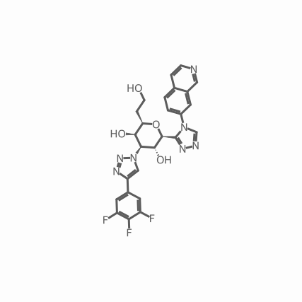 OCC[C@H]1O[C@@H](c2nncn2-c2ccc3ccncc3c2)[C@H](O)[C@@H](n2cc(-c3cc(F)c(F)c(F)c3)nn2)[C@H]1O